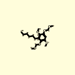 COCOc1cc(OC)c(OCOC)c(CCCCCI)c1OC